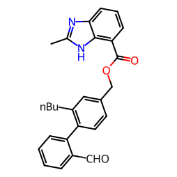 CCCCc1cc(COC(=O)c2cccc3nc(C)[nH]c23)ccc1-c1ccccc1C=O